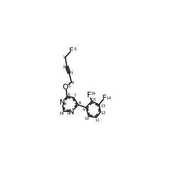 FCC#CCOc1cc(-c2cccc(F)c2F)ncn1